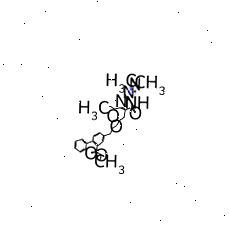 CCCc1nc(/N=C/N(C)C)[nH]c(=O)c1CC(=O)OCCc1ccc(-c2ccccc2)c(C(=O)OC)c1